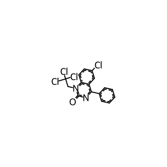 O=c1nc(-c2ccccc2)c2cc(Cl)ccc2n1CC(Cl)(Cl)Cl